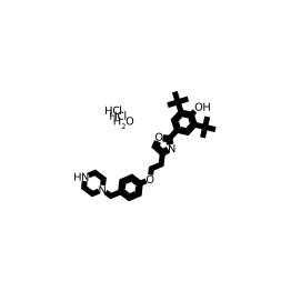 CC(C)(C)c1cc(-c2nc(CCOc3ccc(CN4CCNCC4)cc3)co2)cc(C(C)(C)C)c1O.Cl.Cl.O